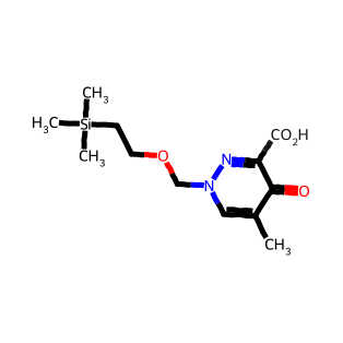 Cc1cn(COCC[Si](C)(C)C)nc(C(=O)O)c1=O